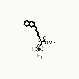 COC(=O)[C@H](OCC=CCCc1ccc2ccccc2c1)[C@@H]1COC(C)(C)O1